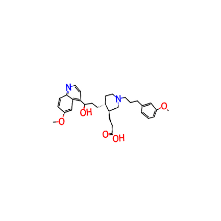 COc1cccc(CCCN2CC[C@@H](CC[C@@H](O)c3ccnc4ccc(OC)cc34)[C@H](CCC(=O)O)C2)c1